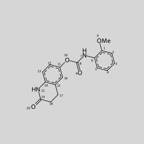 COc1ccccc1NC(=O)Oc1ccc2c(c1)CCC(=O)N2